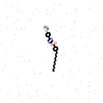 C=CCCCCCCCCCc1ccc(C(=O)Oc2cnc(-c3ccc(OCC(C)CC)cc3)cn2)cc1